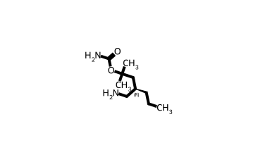 CCC[C@@H](CN)CC(C)(C)OC(N)=O